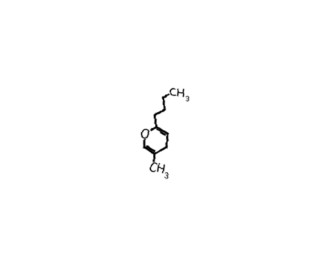 CCCCC1=CCC(C)=CO1